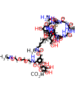 CC=NOCCOCCOCCNC(=O)c1cc(COC(=O)N(C)CCCCCCOc2ccc3c4c([nH]c3c2)[S+]([O-])C[C@@H]2NC(=O)CNC(=O)[C@H]([C@@H](C)CC)NC(=O)CNC(=O)[C@H](C4)NC(=O)[C@H]([C@@H](C)[C@@H](O)CO)NC(=O)[C@@H]3C[C@@H](O)CN3C(=O)[C@H](CC(N)=O)NC2=O)ccc1O[C@@H]1O[C@H](C(=O)O)[C@@H](O)[C@H](O)[C@H]1O